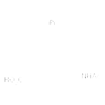 CC(=O)Nc1cc(C(=O)O)cc(C(C)C)c1